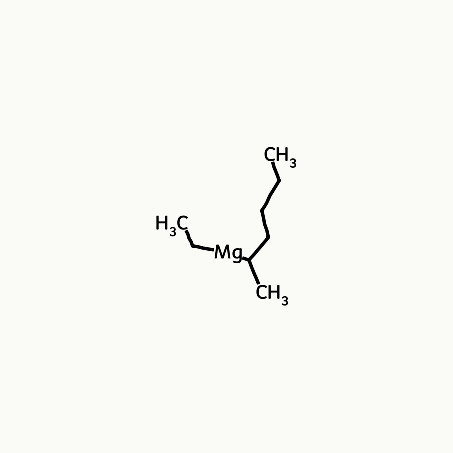 CCCC[CH](C)[Mg][CH2]C